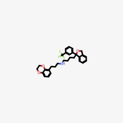 FC(F)(F)c1cccc(C2(CCCCNCCCc3cccc4c3OCCO4)OCc3ccccc32)c1